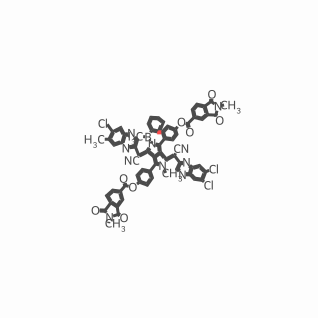 CB(c1ccccc1)n1c(-c2ccc(OC(=O)c3ccc4c(c3)C(=O)N(C)C4=O)cc2)c2/c(=C(\C#N)c3cnc4cc(Cl)c(Cl)cc4n3)n(C)c(-c3ccc(OC(=O)c4ccc5c(c4)C(=O)N(C)C5=O)cc3)c2/c1=C(\C#N)c1cnc2cc(Cl)c(C)cc2n1